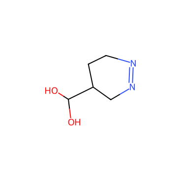 OC(O)C1CCN=NC1